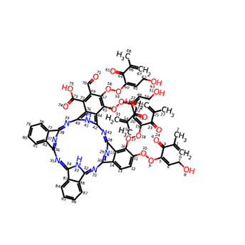 C=C(C)C(=O)C(=CCO)OOc1ccc2c(c1OOC(=CCO)C(=O)C(=C)C)-c1nc-2nc2[nH]c(nc3nc(nc4[nH]c(n1)c1c(OOC(=CCO)C(=O)C(=C)C)c(OOC(=CCO)C(=O)C(=C)C)c(C=O)c(C(=O)O)c41)-c1ccccc1-3)c1ccccc21